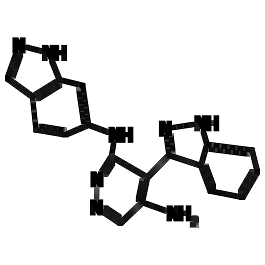 Nc1cnnc(Nc2ccc3cn[nH]c3c2)c1-c1n[nH]c2ccccc12